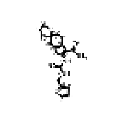 NC(=O)c1c(NC(=O)NCc2ccco2)sc2c1CCC1(C2)OCCO1